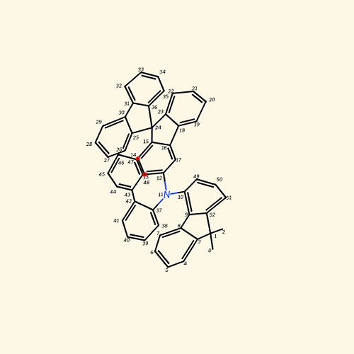 CC1(C)c2ccccc2-c2c(N(c3ccc4c(c3)-c3ccccc3C43c4ccccc4-c4ccccc43)c3ccccc3-c3ccccc3)cccc21